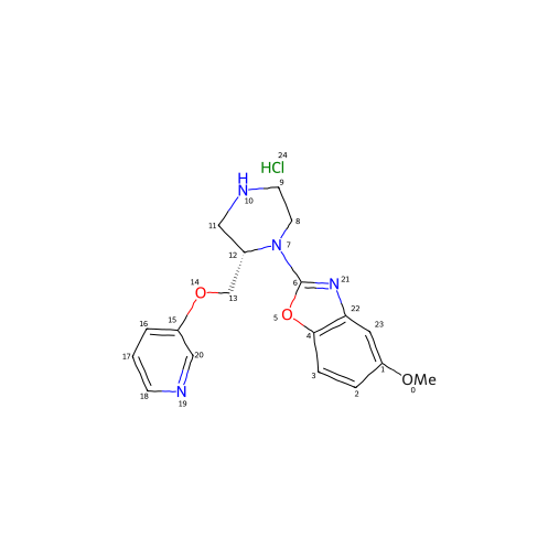 COc1ccc2oc(N3CCNC[C@H]3COc3cccnc3)nc2c1.Cl